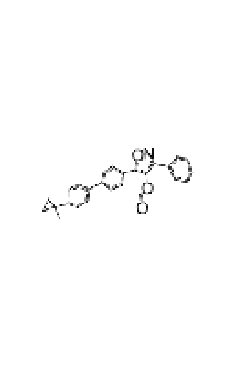 CC1(c2ccc(-c3ccc(-c4onc(-c5ccccc5)c4OC=O)cc3)cc2)CC1